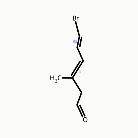 C/C(=C\C=C\Br)CC=O